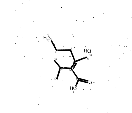 CC(CCN)=C(C(=O)O)C(C)C.Cl